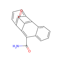 Cc1c2cccc1c1c(C=O)c2c(C(N)=O)c2ccccc21